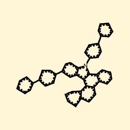 c1ccc(-c2ccc(-c3ccc4c(c3)c3c5c6ccccc6ccc5c5ccccc5c3n4-c3ccc(-c4ccccc4)cc3)cc2)cc1